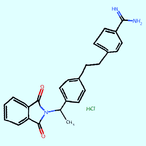 CC(c1ccc(CCc2ccc(C(=N)N)cc2)cc1)N1C(=O)c2ccccc2C1=O.Cl